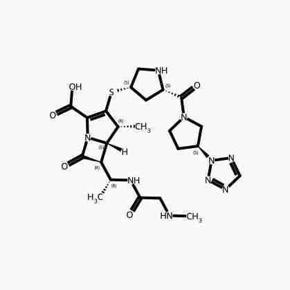 CNCC(=O)N[C@H](C)[C@H]1C(=O)N2C(C(=O)O)=C(S[C@@H]3CN[C@H](C(=O)N4CC[C@H](n5ncnn5)C4)C3)[C@H](C)[C@H]12